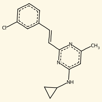 Cc1cc(NC2CC2)nc(C=Cc2cccc(Cl)c2)n1